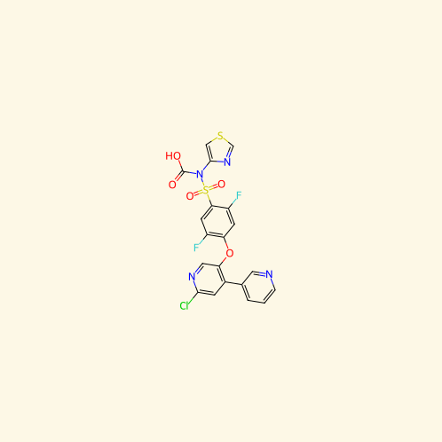 O=C(O)N(c1cscn1)S(=O)(=O)c1cc(F)c(Oc2cnc(Cl)cc2-c2cccnc2)cc1F